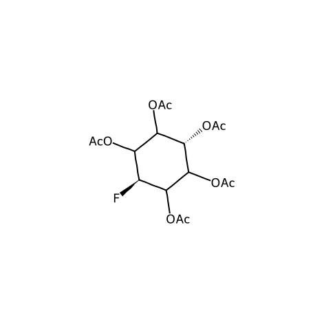 CC(=O)OC1C(OC(C)=O)[C@H](OC(C)=O)C(OC(C)=O)C(OC(C)=O)[C@H]1F